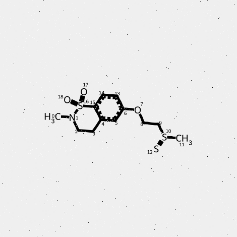 CN1CCc2cc(OCCS(C)=S)ccc2S1(=O)=O